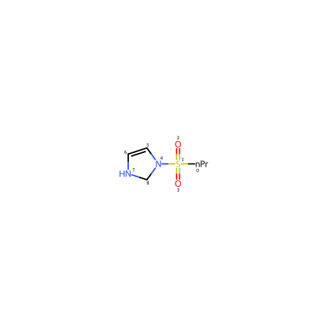 CCCS(=O)(=O)N1C=CNC1